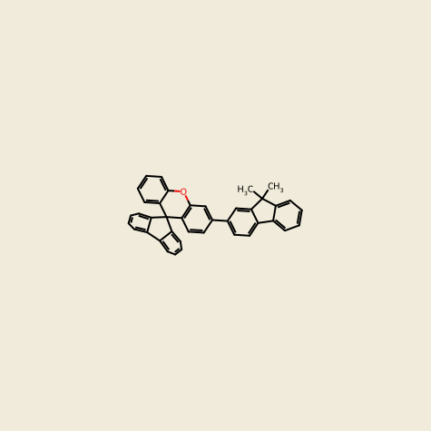 CC1(C)c2ccccc2-c2ccc(-c3ccc4c(c3)Oc3ccccc3C43c4ccccc4-c4ccccc43)cc21